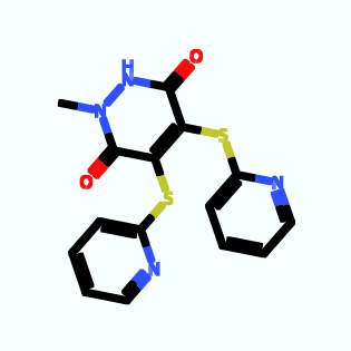 Cn1[nH]c(=O)c(Sc2ccccn2)c(Sc2ccccn2)c1=O